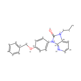 CCCn1c(=O)n(-c2ccc(OCc3ccccc3)cc2)c2ncccc21